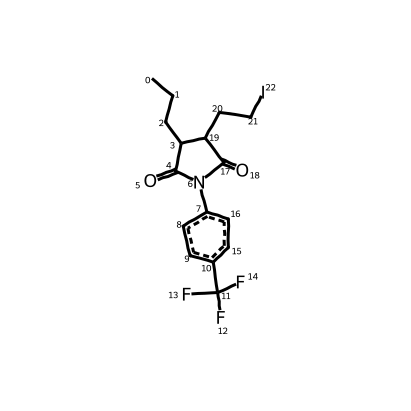 CCCC1C(=O)N(c2ccc(C(F)(F)F)cc2)C(=O)C1CCI